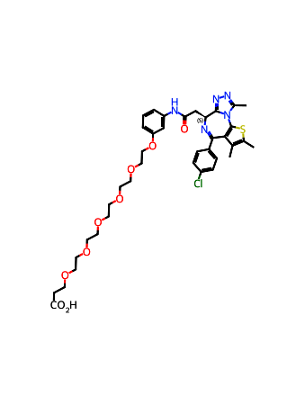 Cc1sc2c(c1C)C(c1ccc(Cl)cc1)=N[C@@H](CC(=O)Nc1cccc(OCCOCCOCCOCCOCCOCCC(=O)O)c1)c1nnc(C)n1-2